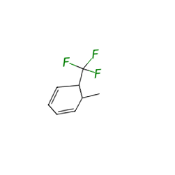 CC1C=CC=CC1C(F)(F)F